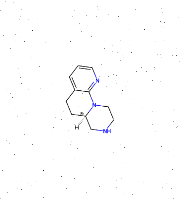 c1cnc2c(c1)CC[C@@H]1CNCCN21